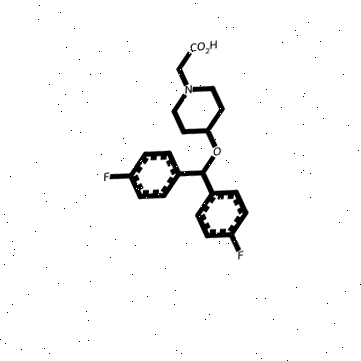 O=C(O)CN1CCC(OC(c2ccc(F)cc2)c2ccc(F)cc2)CC1